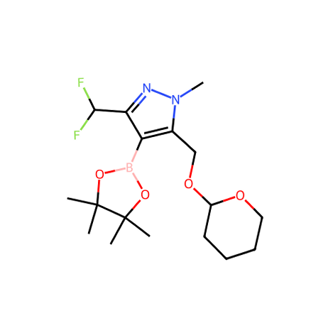 Cn1nc(C(F)F)c(B2OC(C)(C)C(C)(C)O2)c1COC1CCCCO1